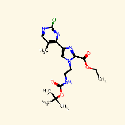 CCOC(=O)c1nc(-c2nc(Cl)ncc2C)cn1CCNC(=O)OC(C)(C)C